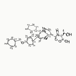 O=C(N[C@@H](CO)C(=O)O)c1cnn2c(C3CCCCC3)c(-c3ccc(OCc4ccccc4)cc3)cnc12